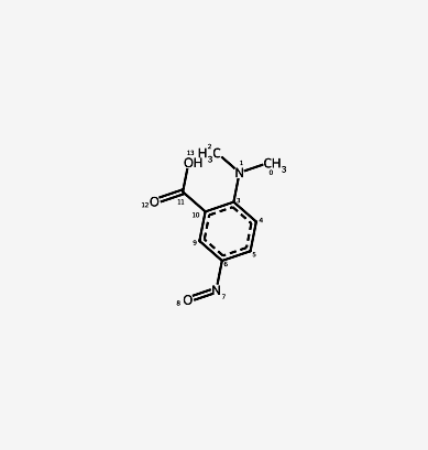 CN(C)c1ccc(N=O)cc1C(=O)O